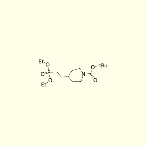 CCOP(=O)(CCC1CCN(C(=O)OC(C)(C)C)CC1)OCC